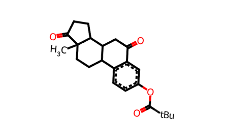 CC(C)(C)C(=O)Oc1ccc2c(c1)C(=O)CC1C2CCC2(C)C(=O)CCC12